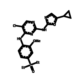 CCP(=O)(CC)c1ccc(Nc2nc(Nc3ncc(C4CC4)o3)ncc2Cl)c(OC)c1